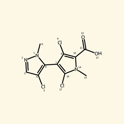 Cn1ncc(Cl)c1-c1c(Cl)c(C(=O)O)n(C)c1Cl